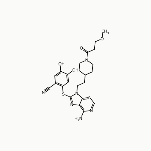 COCCC(=O)N1CCC(CCn2c(Sc3cc(O)c(O)cc3C#N)nc3c(N)ncnc32)CC1